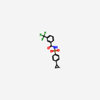 O=C(NS(=O)(=O)c1ccc(C2[CH]C2)cc1)c1cccc(C(F)(F)F)c1